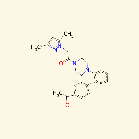 CC(=O)c1ccc(-c2ccccc2N2CCN(C(=O)Cn3nc(C)cc3C)CC2)cc1